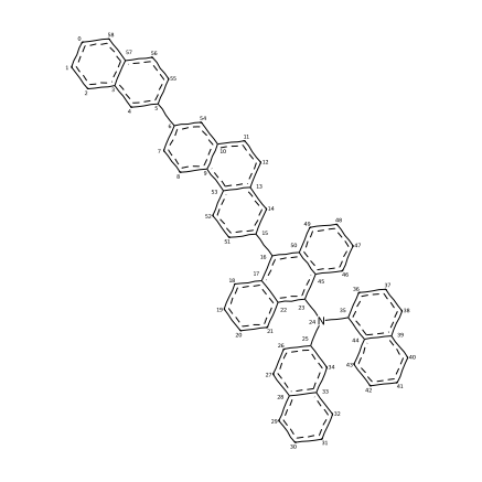 c1ccc2cc(-c3ccc4c(ccc5cc(-c6c7ccccc7c(N(c7ccc8ccccc8c7)c7cccc8ccccc78)c7ccccc67)ccc54)c3)ccc2c1